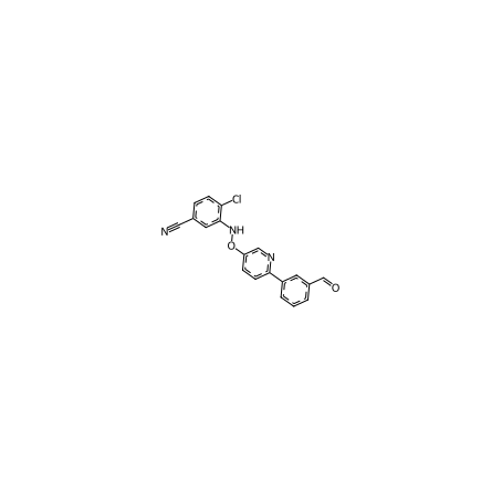 N#Cc1ccc(Cl)c(NOc2ccc(-c3cccc(C=O)c3)nc2)c1